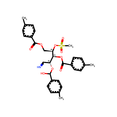 Cc1ccc(C(=O)OC[C@@H](OS(C)(=O)=O)[C@@H](OC(=O)c2ccc(C)cc2)[C@@H](C=N)OC(O)c2ccc(C)cc2)cc1